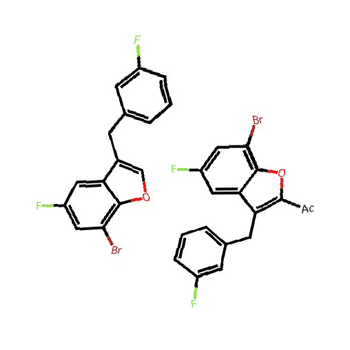 CC(=O)c1oc2c(Br)cc(F)cc2c1Cc1cccc(F)c1.Fc1cccc(Cc2coc3c(Br)cc(F)cc23)c1